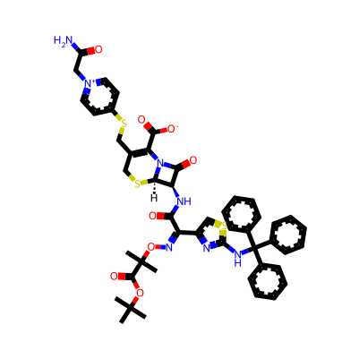 CC(C)(C)OC(=O)C(C)(C)O/N=C(\C(=O)N[C@@H]1C(=O)N2C(C(=O)[O-])=C(CSc3cc[n+](CC(N)=O)cc3)CS[C@H]12)c1csc(NC(c2ccccc2)(c2ccccc2)c2ccccc2)n1